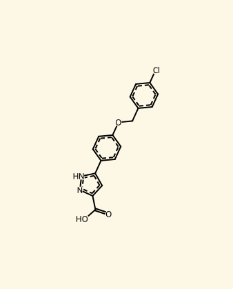 O=C(O)c1cc(-c2ccc(OCc3ccc(Cl)cc3)cc2)[nH]n1